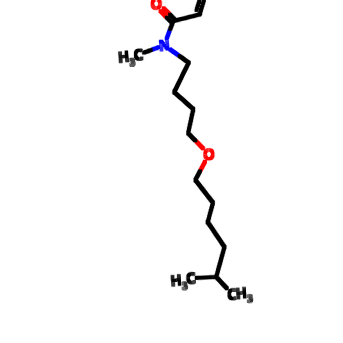 C=CC(=O)N(C)CCCCOCCCCC(C)C